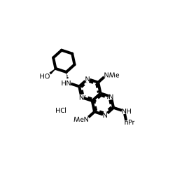 CCCNc1nc(NC)c2nc(N[C@H]3CCCC[C@@H]3O)nc(NC)c2n1.Cl